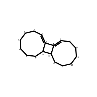 C1=C2C3=CCCCCCCC3C2CCCCCC1